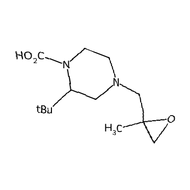 CC1(CN2CCN(C(=O)O)C(C(C)(C)C)C2)CO1